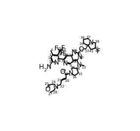 Cc1cc(N)nc(-c2ncc3c(N(C)[C@@H]4CCN(C(=O)/C=C/CN5CCOCC5)C4)nc(OC[C@@]45CCCN4C[C@H](F)C5)nc3c2F)c1C(F)(F)F